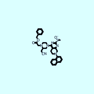 C[S+]([O-])c1nc2c(c(N3CCN(CC(=O)OCc4ccccc4)C(CC#N)C3)n1)CCN(c1cccc3ccccc13)C2